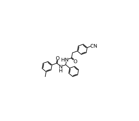 Cc1cccc(C(=O)NC(NC(=O)Cc2ccc(C#N)cc2)c2ccccc2)c1